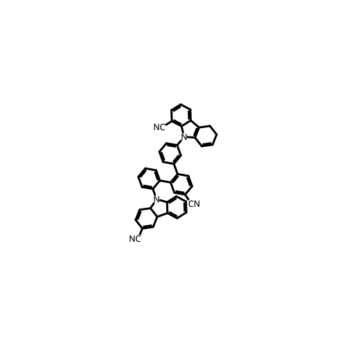 N#CC1=CC2c3ccccc3N(c3ccccc3-c3cc(C#N)ccc3-c3cccc(-n4c5c(c6cccc(C#N)c64)CCC=C5)c3)C2C=C1